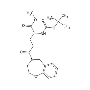 COC(=O)C(CCC(=O)N1CCOc2ccccc2C1)NC(=O)OC(C)(C)C